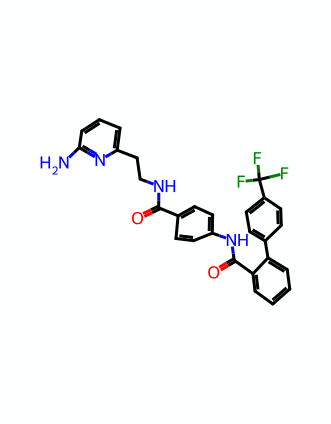 Nc1cccc(CCNC(=O)c2ccc(NC(=O)c3ccccc3-c3ccc(C(F)(F)F)cc3)cc2)n1